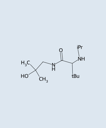 CC(C)NC(C(=O)NCC(C)(C)O)C(C)(C)C